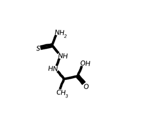 CC(NNC(N)=S)C(=O)O